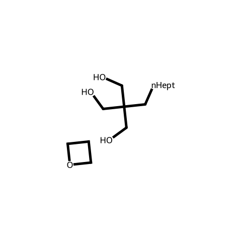 C1COC1.CCCCCCCCC(CO)(CO)CO